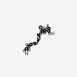 CCc1c(F)ccc2cc(O)cc(-c3ncc4c(N5CCC=CCC5)nc(OCC5(CN6CCC7(CC6)CC(CN6CCN(c8ccc9c(c8)CN([C@H]8CCC(=O)NC8=O)C9=O)CC6)C7)CC5)nc4c3F)c12